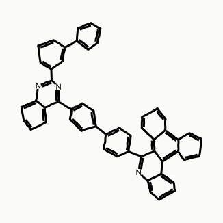 c1ccc(-c2cccc(-c3nc(-c4ccc(-c5ccc(-c6nc7ccccc7c7c8ccccc8c8ccccc8c67)cc5)cc4)c4ccccc4n3)c2)cc1